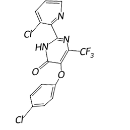 O=c1[nH]c(-c2ncccc2Cl)nc(C(F)(F)F)c1Oc1ccc(Cl)cc1